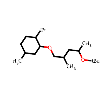 CC(COC1CC(C)CCC1C(C)C)CC(C)OC(C)(C)C